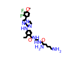 CCc1cc(Nc2nccn3c(-c4ccc(OC)c(F)c4F)cnc23)ccc1C(=O)NCCNC(=O)[C@@H](N)CCCCN